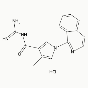 Cc1cn(-c2nccc3ccccc23)cc1C(=O)NC(=N)N.Cl